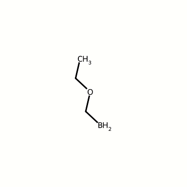 BCOCC